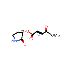 COC(=O)/C=C/C(=O)O[C@H]1CCNC1=O